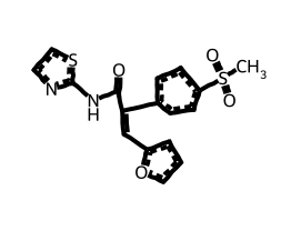 CS(=O)(=O)c1ccc(/C(=C\c2ccco2)C(=O)Nc2nccs2)cc1